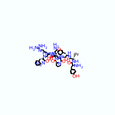 CC(C)C[C@H](NC(=O)[C@@H](N)Cc1ccc(O)cc1)C(=O)N[C@@H](Cc1ccccc1)C(=O)N[C@@H](CCC(N)=O)C(=O)N1CCC[C@H]1C(=O)N[C@@H](CCC(N)=O)C(=O)N[C@@H](CCCN=C(N)N)C(=O)N[C@@H](Cc1ccccc1)C(N)=O